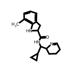 Cc1cccc2c1NC(C(=O)NC(C1CC1)C1CCCC=N1)C2